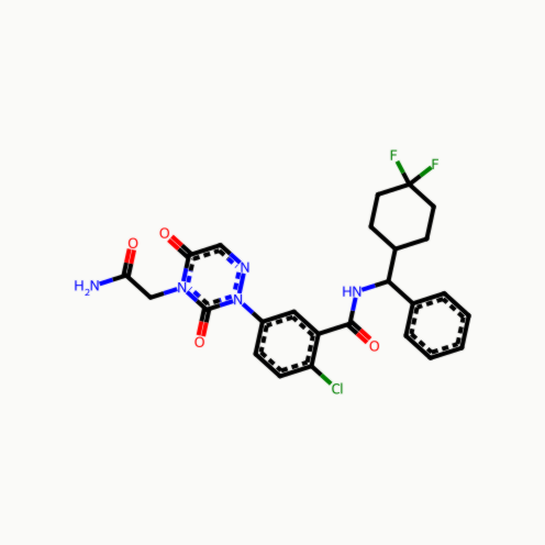 NC(=O)Cn1c(=O)cnn(-c2ccc(Cl)c(C(=O)NC(c3ccccc3)C3CCC(F)(F)CC3)c2)c1=O